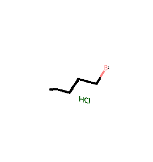 Cl.[B]CCCC